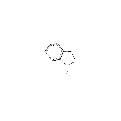 NB1OCc2ccccc21